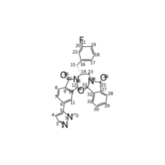 Cn1nccc1-c1ccc2c(c1)CN([C@H](Cc1cccc(F)c1)CN1C(=O)c3ccccc3C1=O)C2=O